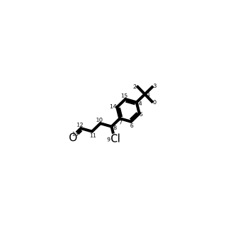 CC(C)(C)c1ccc(C(Cl)CCC=O)cc1